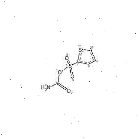 NC(=O)OS(=O)(=O)c1cccs1